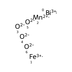 [Bi+3].[Fe+3].[Mn+2].[O-2].[O-2].[O-2].[O-2]